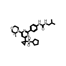 CC(C)CNC(=O)Nc1ccc(-c2nc(N3CCOC[C@@H]3C)cc(C3(S(=O)(=O)C4CCCC4)CC3)n2)cc1